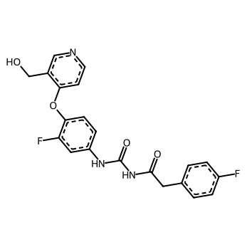 O=C(Cc1ccc(F)cc1)NC(=O)Nc1ccc(Oc2ccncc2CO)c(F)c1